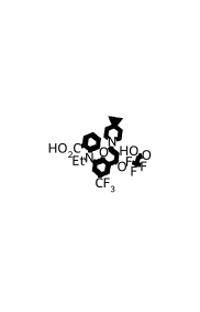 CCN(c1ccccc1C(=O)O)c1cc(C(F)(F)F)cc2c(=O)cc(N3CCC4(CC3)CC4)oc12.O=C(O)C(F)(F)F